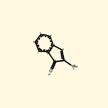 CC(C)(C)C1=Cc2ccccc2C1=O